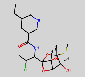 CCC1CNCC(C(=O)NC(C(C)Cl)C23OC([C@H]2O)[C@H](O)[C@@H](SC)O3)C1